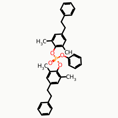 Cc1cc(CCc2ccccc2)cc(C)c1OP(=O)(Oc1ccccc1)Oc1c(C)cc(CCc2ccccc2)cc1C